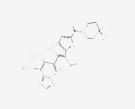 Cc1c(-c2[nH]c3cc(C(=O)N4CCC(C)(O)CC4)sc3c2C(C)C)cn2ncnc2c1C